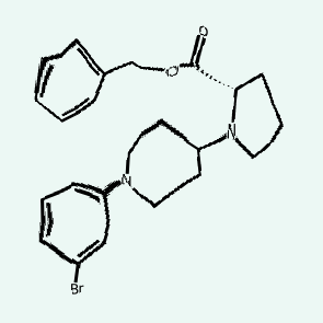 O=C(OCc1ccccc1)[C@@H]1CCCN1C1CCN(c2cccc(Br)c2)CC1